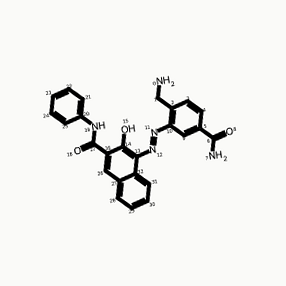 NCc1ccc(C(N)=O)cc1N=Nc1c(O)c(C(=O)Nc2ccccc2)cc2ccccc12